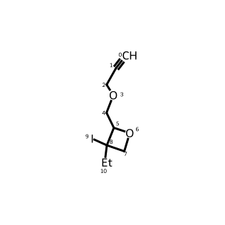 C#CCOCC1OCC1(I)CC